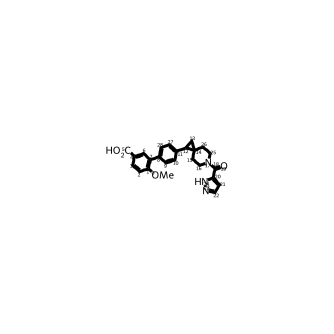 COc1ccc(C(=O)O)cc1-c1ccc(C2CC23CCN(C(=O)c2ccn[nH]2)CC3)cc1